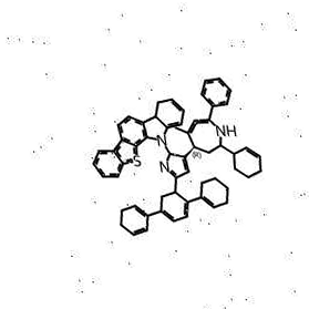 CC1=C=C(c2ccccc2)NC(C2C=CCCC2)C[C@H]1C1=CC(C2CC(C3=CCCC=C3)=CC=C2C2=CCCCC2)=NC1N1C2=CC=CCC2c2ccc3c(sc4ccccc43)c21